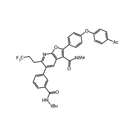 CNC(=O)c1c(-c2ccc(Oc3ccc(C(C)=O)cc3)cc2)oc2nc(CCC(F)(F)F)c(-c3cccc(C(=O)NC(C)(C)C)c3)cc12